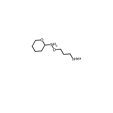 CCCCCCCCCO[SiH2]C1CCCCO1